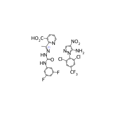 C/C(=N\NC(=O)Nc1cc(F)cc(F)c1)c1ncccc1C(=O)O.Nc1c([N+](=O)[O-])cnn1-c1c(Cl)cc(C(F)(F)F)cc1Cl